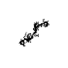 CN(C)[S+]([O-])n1c(Cc2ccccc2)cnc1CCNCCc1nc2c(NCc3ncccc3F)nccc2o1